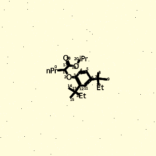 CCCC(Oc1ccc(C(C)(C)CC)cc1C(C)(C)CC)C(=O)OC(C)C